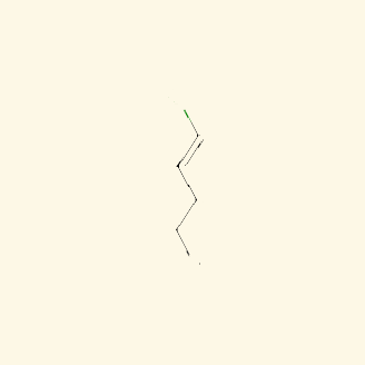 CCCCC=CBr